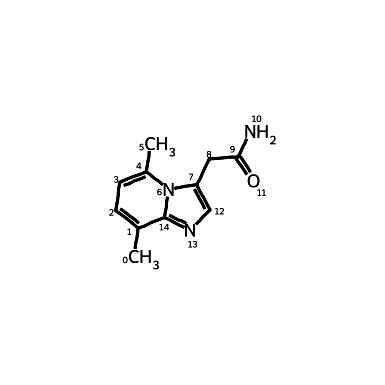 Cc1ccc(C)n2c(CC(N)=O)cnc12